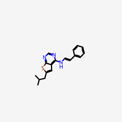 CC(C)Cc1cc2c(NC=Cc3ccccc3)ncnc2s1